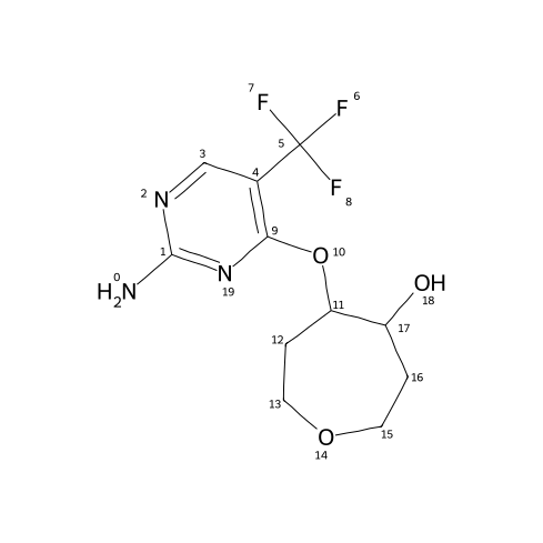 Nc1ncc(C(F)(F)F)c(OC2CCOCCC2O)n1